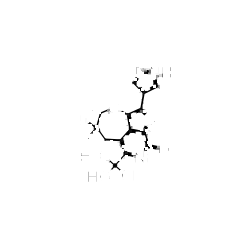 CC(C)(O)c1[nH]c(=O)c2sc(-c3cn[nH]c3)c3c2c1CC(F)(F)CO3